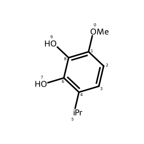 COc1ccc(C(C)C)c(O)c1O